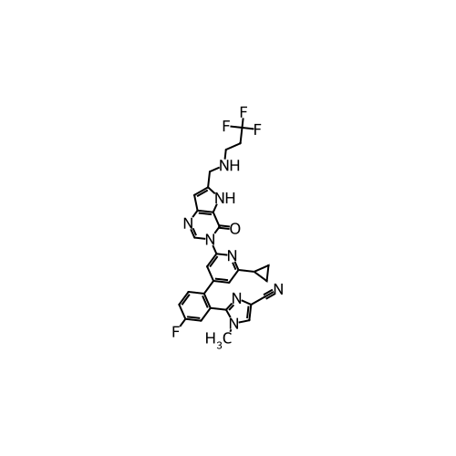 Cn1cc(C#N)nc1-c1cc(F)ccc1-c1cc(C2CC2)nc(-n2cnc3cc(CNCCC(F)(F)F)[nH]c3c2=O)c1